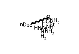 CCCCCCCCCCCCCCCCCC(=O)OC(N)CC.N=C(N)NC(=N)N